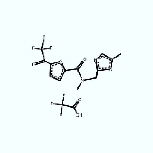 Cc1c[nH]c(CN(C)C(=O)c2ccc(C(=O)C(F)(F)F)s2)n1.O=C(O)C(F)(F)F